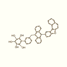 Oc1c(O)c(O)c(-c2cccc(Cc3c4ccccc4c(-c4ccc5oc6ccc7ccccc7c6c5c4)c4ccccc34)c2)c(O)c1O